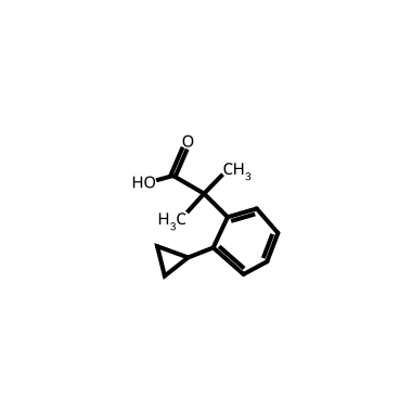 CC(C)(C(=O)O)c1ccccc1C1CC1